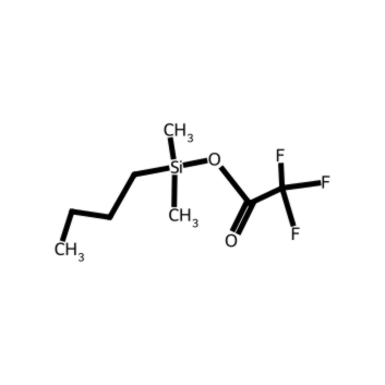 CCCC[Si](C)(C)OC(=O)C(F)(F)F